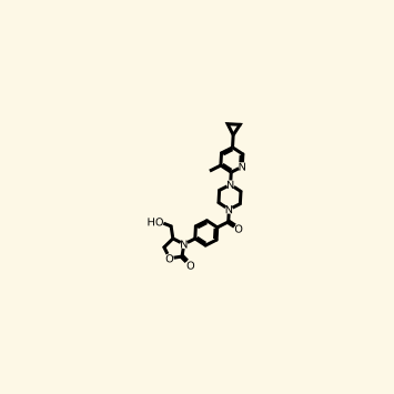 Cc1cc(C2CC2)cnc1N1CCN(C(=O)c2ccc(N3C(=O)OCC3CO)cc2)CC1